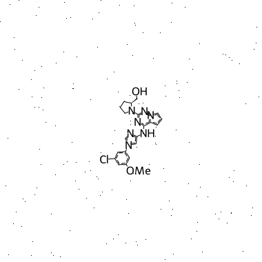 COc1cc(Cl)cc(-n2cnc(Nc3nc(N4CCC[C@H]4CO)nn4cccc34)c2)c1